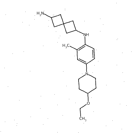 CCOC1CCN(c2ccc(NC3CC4(CC(N)C4)C3)c(C)c2)CC1